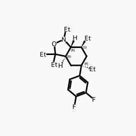 CC[C@H]1C[C@@](CC)(c2ccc(F)c(F)c2)C[C@@H]2[C@@H]1N(CC)OC2(CC)CC